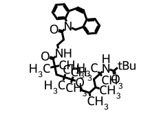 CC(COC(C)(C)C(C)(C)CC(C)(C)C(=O)NCCC(=O)N1Cc2ccccc2C#Cc2ccccc21)C(C)CC(C)(C)NC(=O)C(C)(C)C